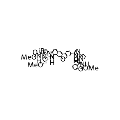 COC[C@H]1C[C@@H](c2nc3ccc4cc5c(cc4c3[nH]2)OCc2cc(-c3cnc([C@@H]4CCCN4C(=O)[C@H](NC(=O)OC)c4ccccc4)[nH]3)ccc2-5)N(C(=O)C(NC(=O)OC)C(C)C)C1